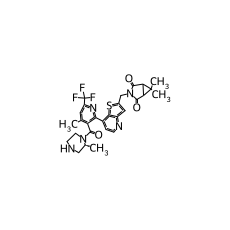 Cc1cc(C(F)(F)F)nc(-c2ccnc3cc(CN4C(=O)C5C(C4=O)C5(C)C)sc23)c1C(=O)N1CCNC[C@@H]1C